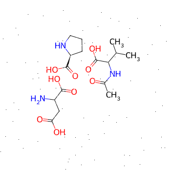 CC(=O)NC(C(=O)O)C(C)C.NC(CC(=O)O)C(=O)O.O=C(O)[C@@H]1CCCN1